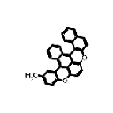 Cc1ccc2c(c1)-c1c3ccccc3c3c4c(ccc(c14)O2)Oc1ccc2ccccc2c1-3